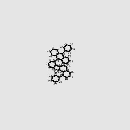 C1=Cc2c(c(-c3cccc4oc5c(ccc6cccc(-c7ccccc7)c65)c34)c3ccccc3c2-c2ccccc2)CC1